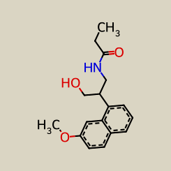 CCC(=O)NCC(CO)c1cccc2ccc(OC)cc12